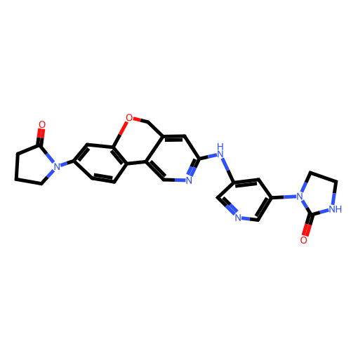 O=C1CCCN1c1ccc2c(c1)OCc1cc(Nc3cncc(N4CCNC4=O)c3)ncc1-2